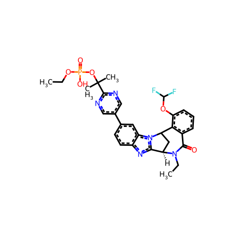 CCOP(=O)(O)OC(C)(C)c1ncc(-c2ccc3nc4n(c3c2)C2C[C@H]4N(CC)C(=O)c3cccc(OC(F)F)c32)cn1